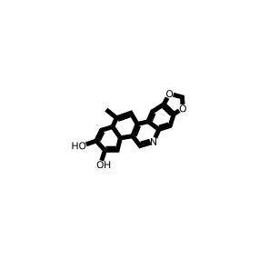 CC1=Cc2c(cnc3cc4c(cc23)OCO4)C2C=C(O)C(O)=CC12